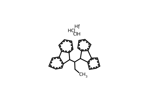 CCC(C1c2ccccc2-c2ccccc21)C1c2ccccc2-c2ccccc21.Cl.Cl.[Hf]